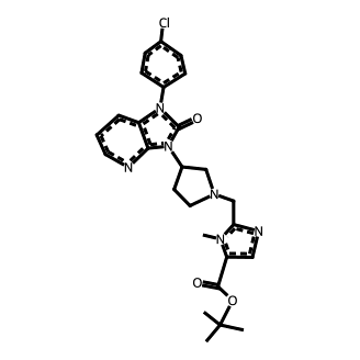 Cn1c(C(=O)OC(C)(C)C)cnc1CN1CCC(n2c(=O)n(-c3ccc(Cl)cc3)c3cccnc32)C1